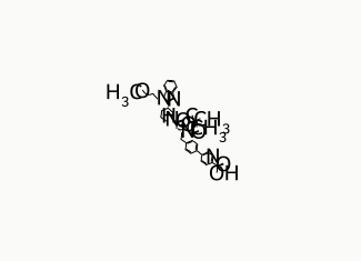 COCCCn1c([C@@H]2CCCN(C(=O)C[C@@H](Cc3ccc(-c4ccc(C(=O)O)nc4)cc3)N(C=O)OC(C)(C)C)C2)nc2ccccc21